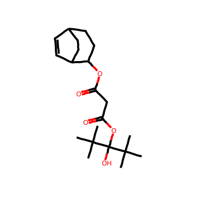 CC(C)(C)C(O)(OC(=O)CC(=O)OC1CCC2C=CC1CC2)C(C)(C)C